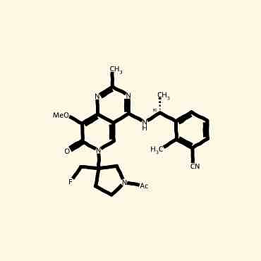 COc1c(=O)n(C2(CF)CCN(C(C)=O)C2)cc2c(N[C@H](C)c3cccc(C#N)c3C)nc(C)nc12